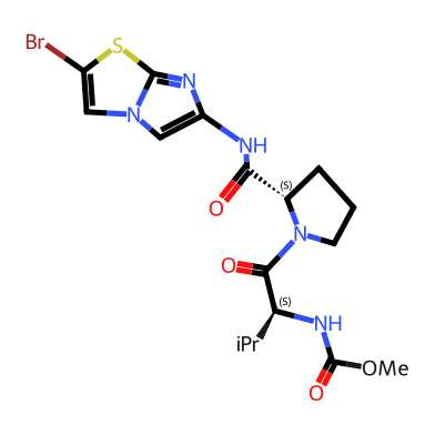 COC(=O)N[C@H](C(=O)N1CCC[C@H]1C(=O)Nc1cn2cc(Br)sc2n1)C(C)C